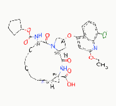 CCOc1cc(O[C@@H]2C[C@H]3C(=O)N[C@]4(C(=O)O)C[C@H]4/C=C\CCCCC[C@H](NC(=O)OC4CCCC4)C(=O)N3C2)c2cccc(Cl)c2n1